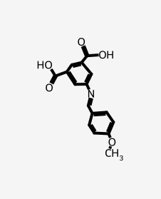 COc1ccc(C=Nc2cc(C(=O)O)cc(C(=O)O)c2)cc1